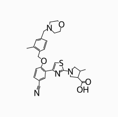 Cc1cc(CN2CCOCC2)ccc1COc1ccc(C#N)cc1-c1csc(N2CC(C)C(C(=O)O)C2)n1